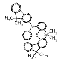 CC1(C)c2ccccc2-c2ccc(N(c3ccccc3)c3cccc4c3Sc3c(ccc5c3-c3ccccc3C5(C)C)[Si]4(C)C)cc21